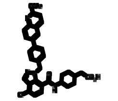 COc1ccc2cc(-c3ccc(Cn4ncc5c(Cl)ccc(C(=O)NC6CCC(CC(=O)O)CC6)c54)cc3)ccc2n1